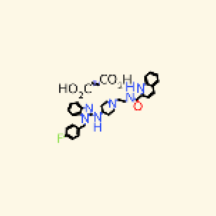 O=C(NCCN1CCC(Nc2nc3ccccc3n2Cc2ccc(F)cc2)CC1)c1ccc2ccccc2n1.O=C(O)/C=C/C(=O)O